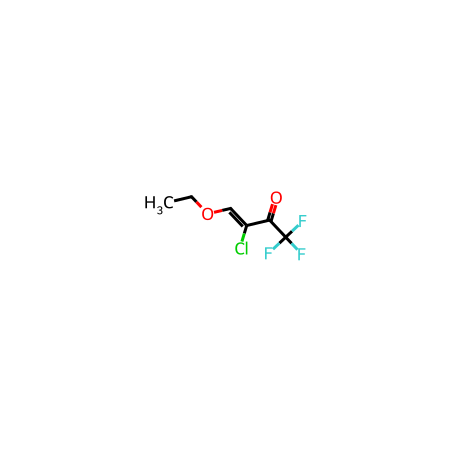 CCOC=C(Cl)C(=O)C(F)(F)F